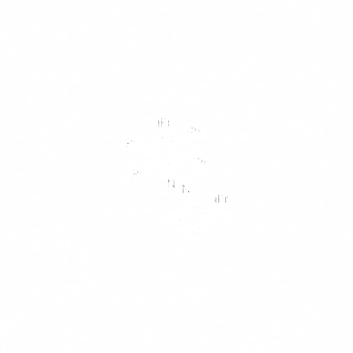 CC(C)c1ccccc1N=Nc1c(C(C)C)c(C(C)C)c(C(C)C)c(C(C)C)c1C(C)C